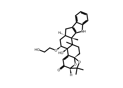 CC1(C)O[C@@]23CCC4(C)[C@@]5(C)c6[nH]c7ccccc7c6C[C@@H]5C[C@H](OCCO)[C@@]4(O)C2=CC(=O)[C@@H]1O3